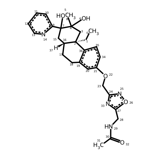 CC[C@@]12CC(C)(O)C(O)(c3ccccn3)C[C@H]1CCc1cc(OCc3noc(CNC(C)=O)n3)ccc12